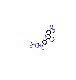 CC(=O)N1CCN(C(=O)c2ccc(-c3nc4ccc5[nH]ncc5c4c4c3CCCC4)cc2)CC1